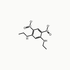 CCNc1cc(NCC)c([N+](=O)[O-])cc1[N+](=O)[O-]